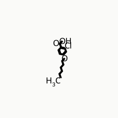 CCCCCCCOc1ccc(C(=O)O)c(Cl)c1